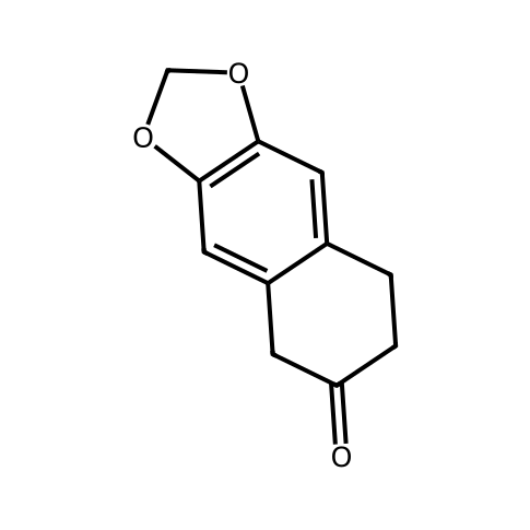 O=C1CCc2cc3c(cc2C1)OCO3